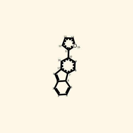 [C]1=C2C=CC=CC2c2ccc(-c3ccco3)cc21